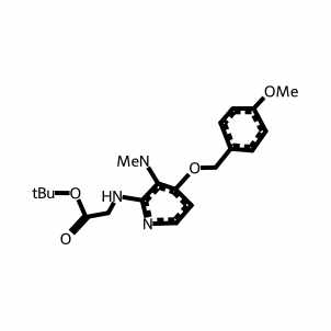 CNc1c(OCc2ccc(OC)cc2)ccnc1NCC(=O)OC(C)(C)C